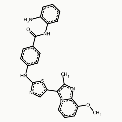 COc1cccn2c(-c3cnc(Nc4ccc(C(=O)Nc5ccccc5N)cc4)s3)c(C)nc12